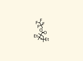 CCC(C)(C)CC(C)(C(=O)OCC(F)(F)C(F)F)C(C)(C)CC